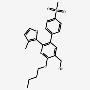 CCCCOc1nc(-c2sccc2C)c(-c2ccc(S(C)(=O)=O)cc2)cc1CO